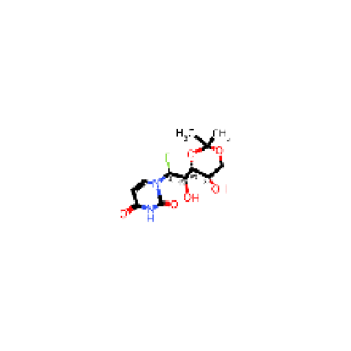 CC1(C)OC[C@@H](O)[C@H]([C@@H](O)[C@H](F)n2ccc(=O)[nH]c2=O)O1